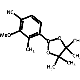 COc1c(C#N)ccc(B2OC(C)(C)C(C)(C)O2)c1C